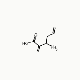 C=CCC(N)C(=C)C(=O)O